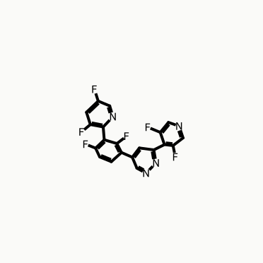 Fc1cnc(-c2c(F)ccc(-c3cnnc(-c4c(F)cncc4F)c3)c2F)c(F)c1